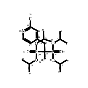 CC(C)OP(=O)(OC(C)C)C(F)(Cc1ccnc(Cl)c1)P(=O)(OC(C)C)OC(C)C